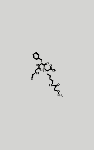 NOCC(=O)NCCCC[C@H](NC(=O)[C@H](Cc1ccccc1)NC(=O)CNC=O)C(=O)O